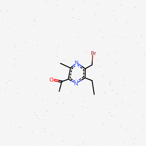 CCc1nc(C(C)=O)c(C)nc1CBr